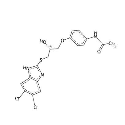 CC(=O)Nc1ccc(OC[C@@H](O)CSc2nc3cc(Cl)c(Cl)cc3[nH]2)cc1